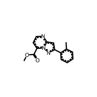 COC(=O)c1ccnc2cc(-c3ccccc3C)nn12